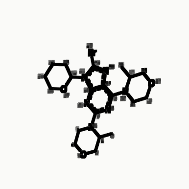 CC1COCCN1c1nc(N2CCOCC2C)c2nc(Br)n(C3CCCCO3)c2n1